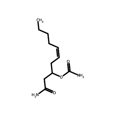 CCCC/C=C\CC(CC(N)=O)OC(N)=O